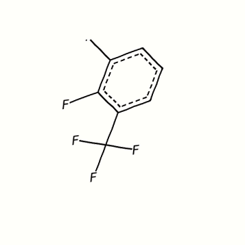 [CH2]c1cccc(C(F)(F)F)c1F